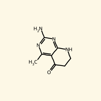 Cc1nc(N)nc2c1C(=O)CCN2